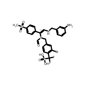 CS(=O)(=O)c1ccc(/C(=C/NCc2cccc(N)c2)N(C=O)Cc2ccc(C(F)(F)P(=O)(O)O)c(Br)c2)cc1